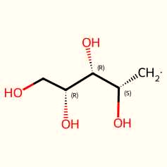 [CH2][C@H](O)[C@@H](O)[C@H](O)CO